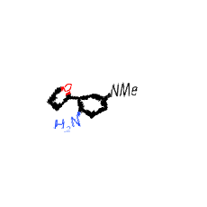 CNc1ccc(N)c(-c2ccco2)c1